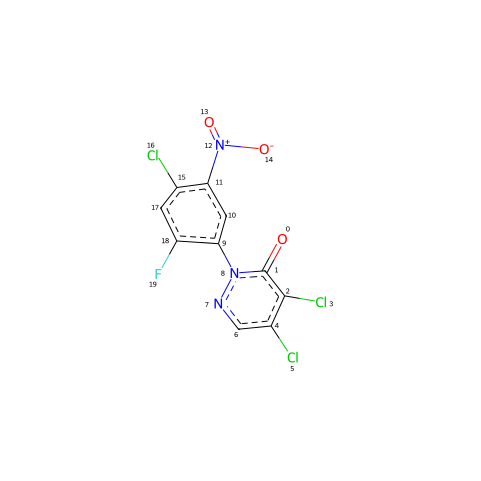 O=c1c(Cl)c(Cl)cnn1-c1cc([N+](=O)[O-])c(Cl)cc1F